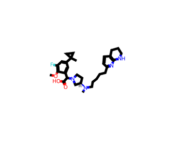 COc1c(F)cc(C2(C)CC2)cc1C(C(=O)O)N1CC[C@@H](N(C)CCCCCc2ccc3c(n2)NCCC3)C1